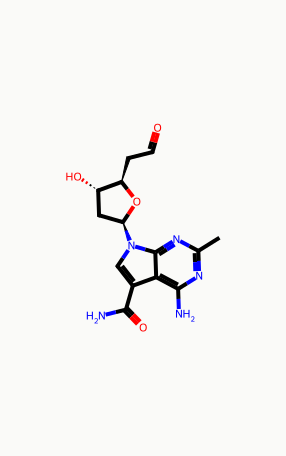 Cc1nc(N)c2c(C(N)=O)cn([C@H]3C[C@H](O)[C@@H](CC=O)O3)c2n1